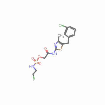 Cc1nc(NC(=O)COS(=O)(=O)NCCF)sc1Cc1cccc(Cl)c1